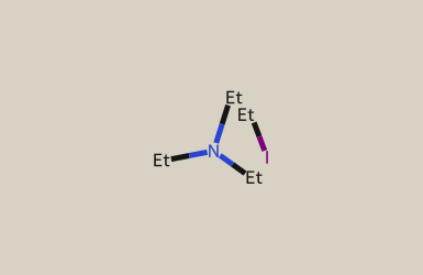 CCI.CCN(CC)CC